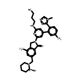 CC(C)[C@H]1CCCCN1Cc1cc2c(c(C(F)(F)F)c1)CN(c1cc(-c3cc(C(F)(F)F)ccc3-c3nncn3C)cc(NCCCC#N)n1)C2=O